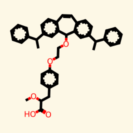 COC(Cc1ccc(OCCOC2c3cc(C(C)c4ccccc4)ccc3C=Cc3ccc(C(C)c4ccccc4)cc32)cc1)C(=O)O